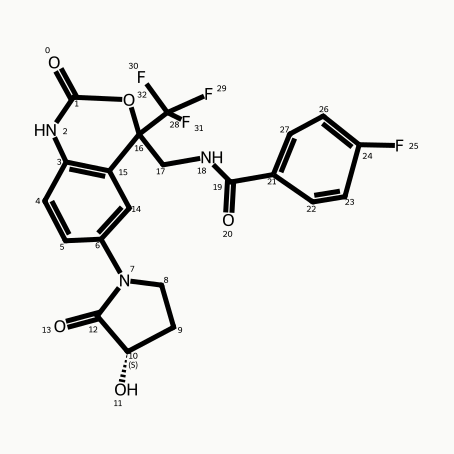 O=C1Nc2ccc(N3CC[C@H](O)C3=O)cc2C(CNC(=O)c2ccc(F)cc2)(C(F)(F)F)O1